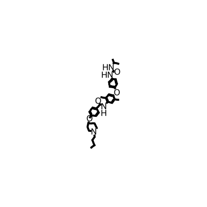 CCCCN1CCC(Oc2ccc(C(=O)Nc3cc(C)c(Oc4ccc(NC(=O)NC(C)C)cc4)cc3C)cc2)CC1